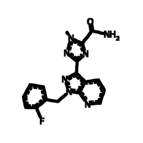 Cn1nc(-c2nn(Cc3ccccc3F)c3ncccc23)nc1C(N)=O